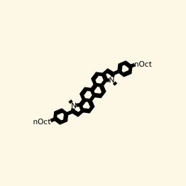 CCCCCCCCc1ccc(-c2cc3ccc4c5ccc6c(ccc7cc(-c8ccc(CCCCCCCC)cc8)n(C)c76)c5ccc4c3n2C)cc1